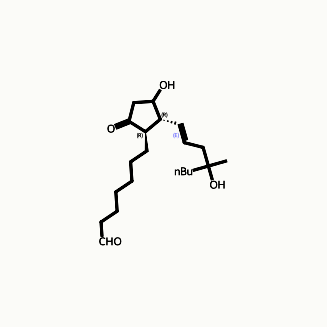 CCCCC(C)(O)C/C=C/[C@H]1C(O)CC(=O)[C@@H]1CCCCCCC=O